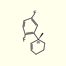 C[C@]1(c2cc(F)ccc2F)C=CCCC1